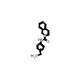 [CH2]Cc1ccc(NC(=O)N2C=Cc3ccccc3C2)cc1